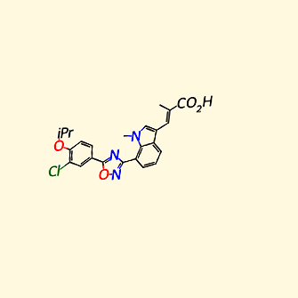 CC(=Cc1cn(C)c2c(-c3noc(-c4ccc(OC(C)C)c(Cl)c4)n3)cccc12)C(=O)O